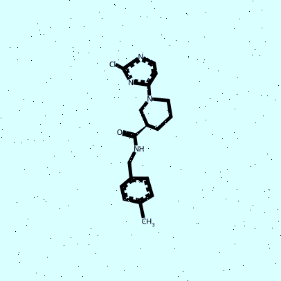 Cc1ccc(CNC(=O)[C@@H]2CCCN(c3ccnc(Cl)n3)C2)cc1